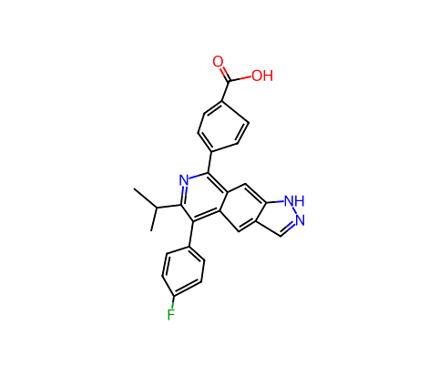 CC(C)c1nc(-c2ccc(C(=O)O)cc2)c2cc3[nH]ncc3cc2c1-c1ccc(F)cc1